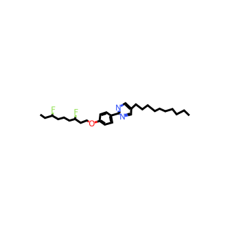 CCCCCCCCCCc1cnc(-c2ccc(OCCC(F)CCCC(F)CC)cc2)nc1